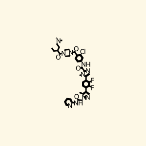 CCC(CCN(C)C)C(=O)N1CCN(C(=O)c2ccc(NC(=O)c3ncc(-c4ccc(-c5cnn(CC(=O)Nc6ccccn6)c5C)c(F)c4F)n3C)cc2Cl)CC1